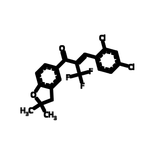 CC1(C)Cc2cc(C(=O)C(=Cc3ccc(Cl)cc3Cl)C(F)(F)F)ccc2O1